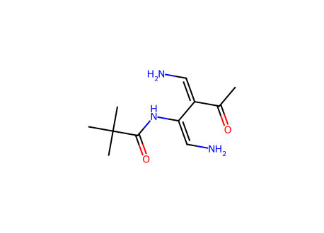 CC(=O)C(=C/N)/C(=C\N)NC(=O)C(C)(C)C